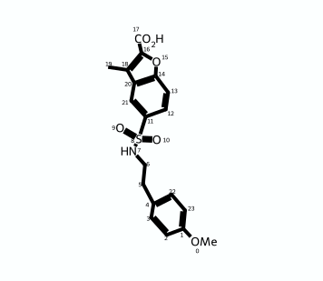 COc1ccc(CCNS(=O)(=O)c2ccc3oc(C(=O)O)c(C)c3c2)cc1